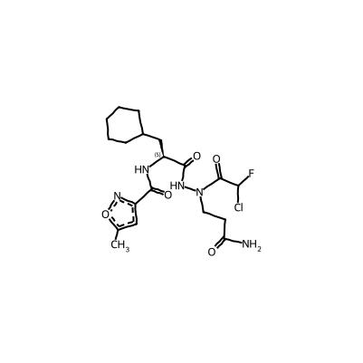 Cc1cc(C(=O)N[C@@H](CC2CCCCC2)C(=O)NN(CCC(N)=O)C(=O)C(F)Cl)no1